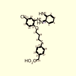 N=C1C=CC=C/C1=N/Nc1cc(Cl)ccc1OCCCSc1ccc(CC(=O)O)cc1